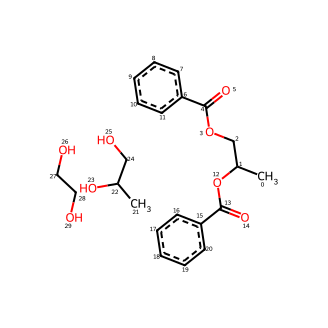 CC(COC(=O)c1ccccc1)OC(=O)c1ccccc1.CC(O)CO.OCCO